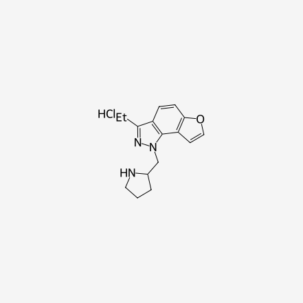 CCc1nn(CC2CCCN2)c2c1ccc1occc12.Cl